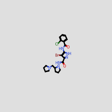 O=C(Nc1[nH]nc(C(=O)NN2CCCC2CN2CCCC2)c1Br)c1ccccc1Cl